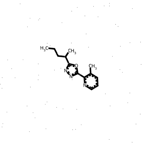 CCCC(C)c1nnc(-c2ncccc2C)o1